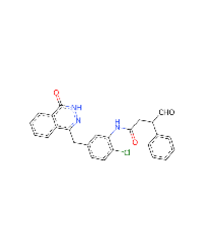 O=CC(CC(=O)Nc1cc(Cc2n[nH]c(=O)c3ccccc23)ccc1Cl)c1ccccc1